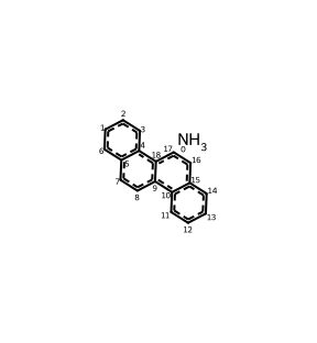 N.c1ccc2c(c1)ccc1c3ccccc3ccc21